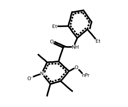 CCCOc1c(C)c(C)[n+]([O-])c(C)c1C(=O)Nc1c(CC)cccc1CC